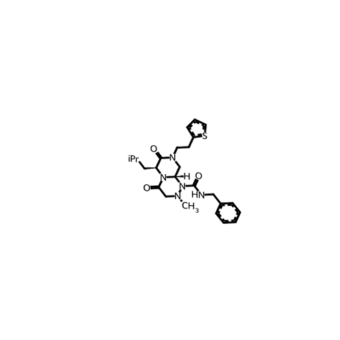 CC(C)C[C@H]1C(=O)N(CCc2cccs2)C[C@H]2N1C(=O)CN(C)N2C(=O)NCc1ccccc1